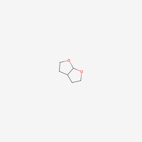 [CH]1CC2CCOC2O1